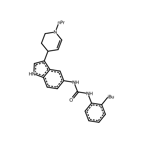 CCCN1C=CC(c2c[nH]c3ccc(NC(=O)Nc4ccccc4C(C)CC)cc23)CC1